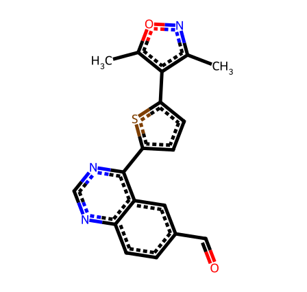 Cc1noc(C)c1-c1ccc(-c2ncnc3ccc(C=O)cc23)s1